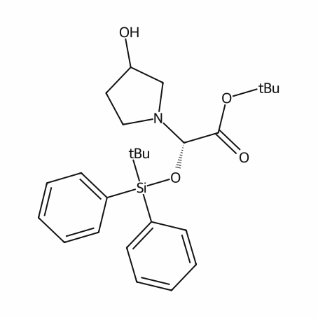 CC(C)(C)OC(=O)[C@H](O[Si](c1ccccc1)(c1ccccc1)C(C)(C)C)N1CCC(O)C1